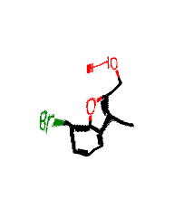 Cc1c(CO)oc2c(Br)cccc12